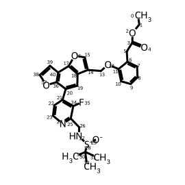 CCOC(=O)Cc1ccccc1OCc1coc2c1cc(-c1ccnc(CN[S+]([O-])C(C)(C)C)c1F)c1occc12